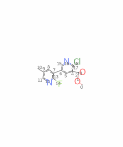 COC(=O)c1cc(-c2cc(C)cnc2F)cnc1Cl